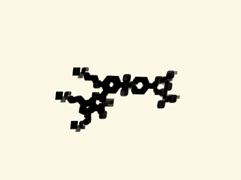 CCCOc1ccc(S(=O)(=O)N2CCC([C@@H](CO[N+](=O)[O-])O[N+](=O)[O-])CC2)cc1-c1nc2c(CCC)cn(CC)c2c(=O)[nH]1